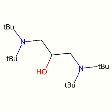 CC(C)(C)N(CC(O)CN(C(C)(C)C)C(C)(C)C)C(C)(C)C